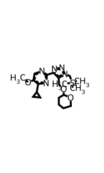 COc1cnc(-c2nnn(C[Si](C)(C)C)c2COC2CCCCO2)nc1C1CC1